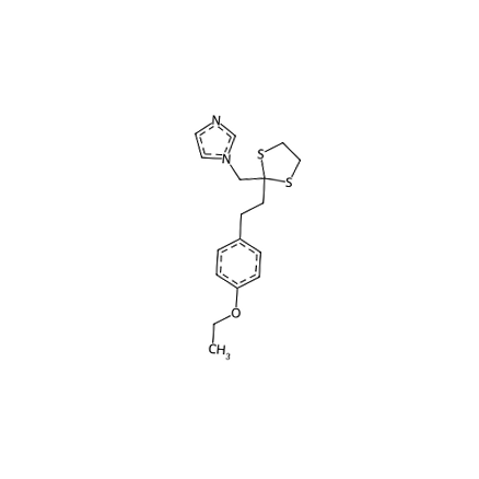 CCOc1ccc(CCC2(Cn3ccnc3)SCCS2)cc1